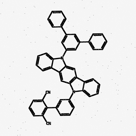 N#Cc1cccc(C#N)c1-c1cccc(-n2c3ccccc3c3cc4c(cc32)c2ccccc2n4-c2cc(-c3ccccc3)cc(-c3ccccc3)c2)c1